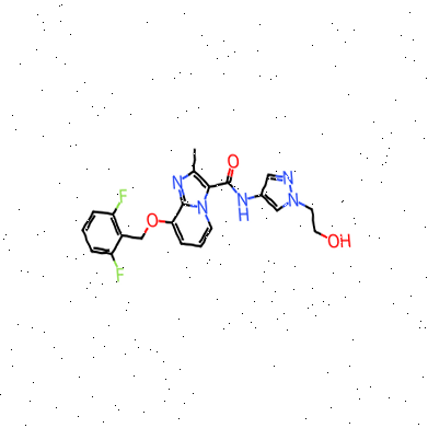 Cc1nc2c(OCc3c(F)cccc3F)cccn2c1C(=O)Nc1cnn(CCO)c1